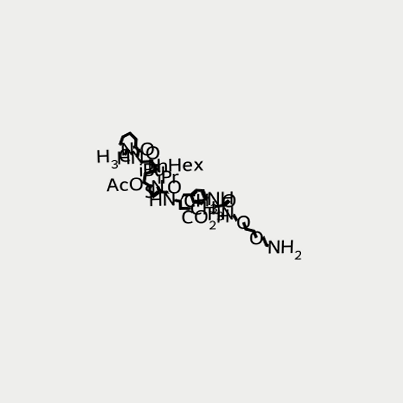 CCCCCCN(C(=O)[C@@H](NC(=O)C1CCCCN1C)[C@@H](C)CC)[C@H](C[C@@H](OC(C)=O)c1nc(C(=O)N[C@@H](Cc2ccc(NCC(=O)NCCOCCOCCN)cc2)CC(C)(C)C(=O)O)cs1)C(C)C